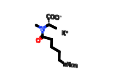 CCCCCCCCCCCCCC(=O)N(C)[C@@H](C)C(=O)[O-].[K+]